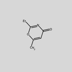 CCc1nc(=O)cc(C)o1